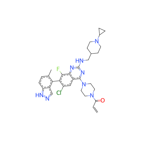 C=CC(=O)N1CCN(c2nc(NCC3CCN(C4CC4)CC3)nc3c(F)c(-c4c(C)ccc5[nH]ncc45)c(Cl)cc23)CC1